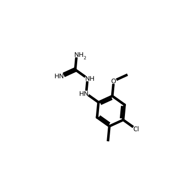 COc1cc(Cl)c(C)cc1NNC(=N)N